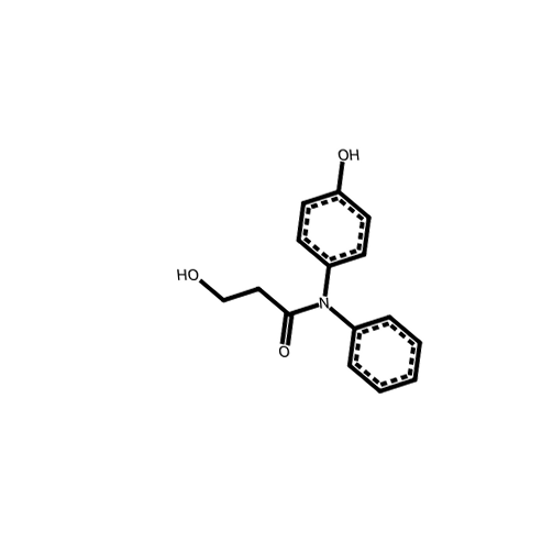 O=C(CCO)N(c1ccccc1)c1ccc(O)cc1